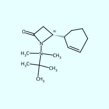 CC(C)(C)[Si](C)(C)N1C(=O)C[C@@H]1C1C=CCCC1